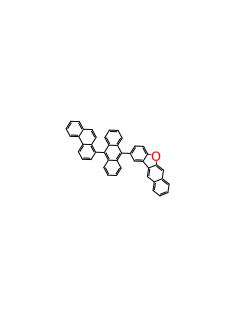 c1ccc2cc3c(cc2c1)oc1ccc(-c2c4ccccc4c(-c4cccc5c4ccc4ccccc45)c4ccccc24)cc13